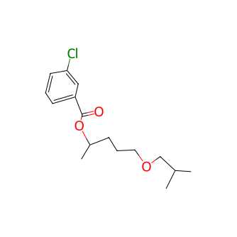 CC(C)COCCCC(C)OC(=O)c1cccc(Cl)c1